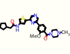 COc1cc(-c2cncc(-c3cc(NC(=O)CC4CCCC4)cs3)n2)ccc1C(=O)N1CCN(C)CC1